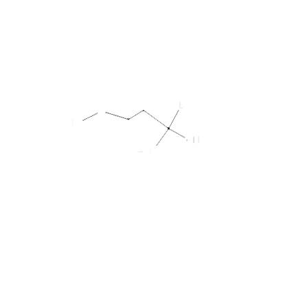 CCSCCC(C)(C)CC